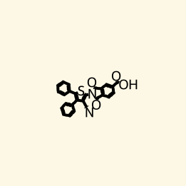 N#Cc1c(N2C(=O)c3ccc(C(=O)O)cc3C2=O)sc(-c2ccccc2)c1-c1ccccc1